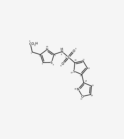 O=C(O)Cc1csc(NS(=O)(=O)c2ccc(-c3ccon3)s2)n1